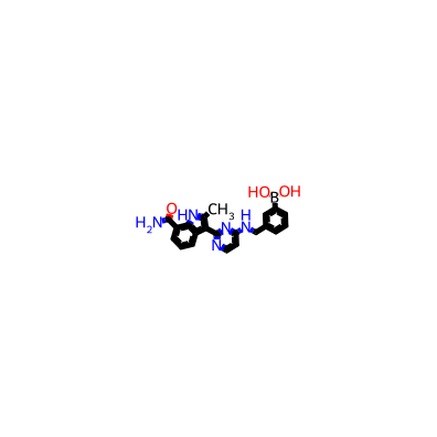 Cc1[nH]c2c(C(N)=O)cccc2c1-c1nccc(NCc2cccc(B(O)O)c2)n1